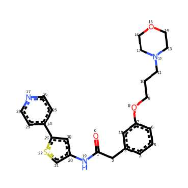 O=C(Cc1cccc(OCCCN2CCOCC2)c1)Nc1csc(-c2ccncc2)c1